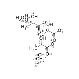 CC(O)C(=O)[O-].CC(O)C(=O)[O-].CC(O)C(=O)[O-].O.O.O.O.[La+3]